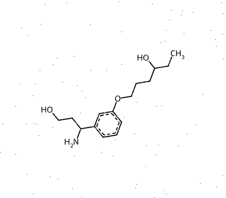 CCC(O)CCCOc1cccc(C(N)CCO)c1